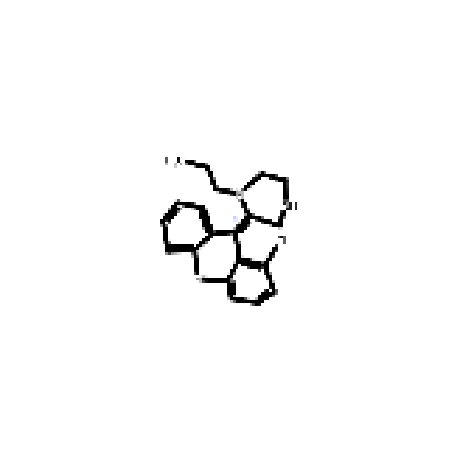 CCCN1CCNC/C1=C1/c2ccccc2Sc2cccc(Cl)c21